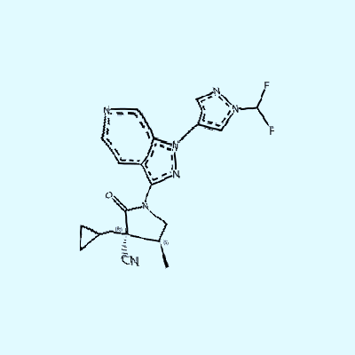 C[C@@H]1CN(c2nn(-c3cnn(C(F)F)c3)c3cnccc23)C(=O)[C@]1(C#N)C1CC1